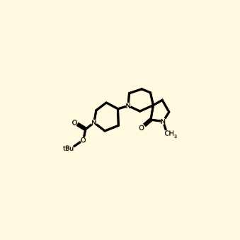 CN1CCC2(CCCN(C3CCN(C(=O)OC(C)(C)C)CC3)C2)C1=O